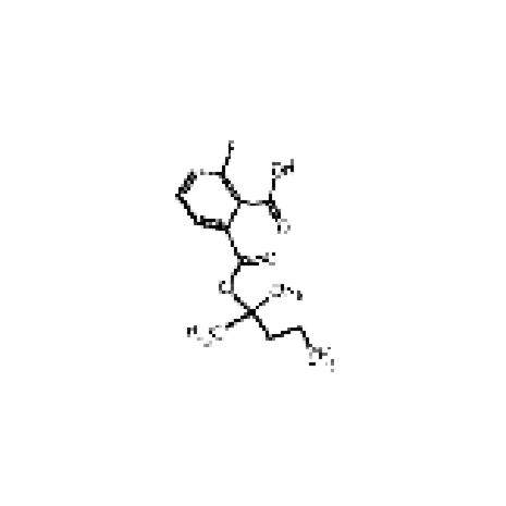 CCCC(C)(C)OC(=O)c1cccc(F)c1C(=O)O